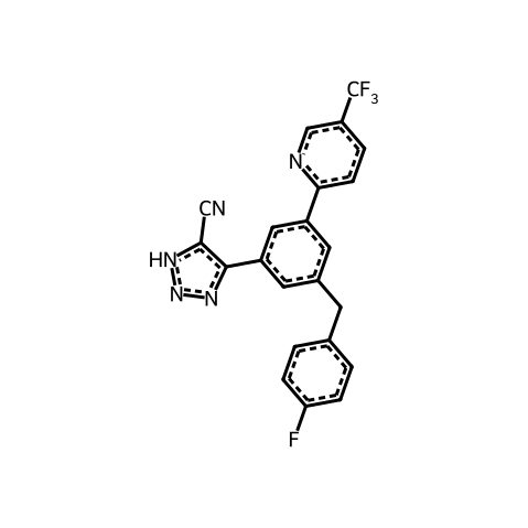 N#Cc1[nH]nnc1-c1cc(Cc2ccc(F)cc2)cc(-c2ccc(C(F)(F)F)cn2)c1